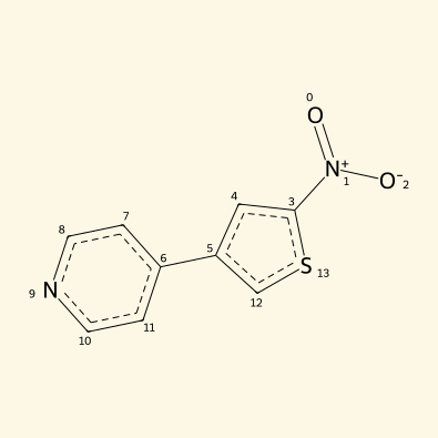 O=[N+]([O-])c1cc(-c2ccncc2)cs1